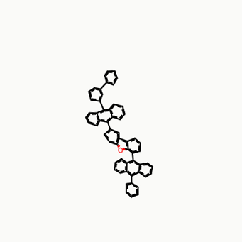 c1ccc(-c2cccc(-c3c4ccccc4c(-c4ccc5oc6c(-c7c8ccccc8c(-c8ccccc8)c8ccccc78)cccc6c5c4)c4ccccc34)c2)cc1